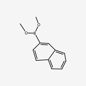 COB(OC)c1ccc2ccccc2c1